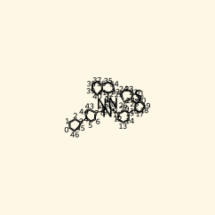 c1ccc(-c2ccc(-c3nc(-c4cccc(-c5cccc6sc7ccccc7c56)c4)nc(-c4cccc5ccccc45)n3)cc2)cc1